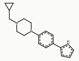 c1c[nH]c(-c2ccc(N3CCN(CC4CC4)CC3)cc2)c1